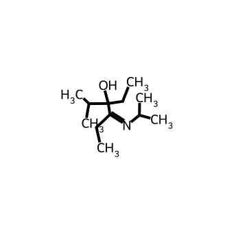 CCC(=NC(C)C)C(O)(CC)C(C)C